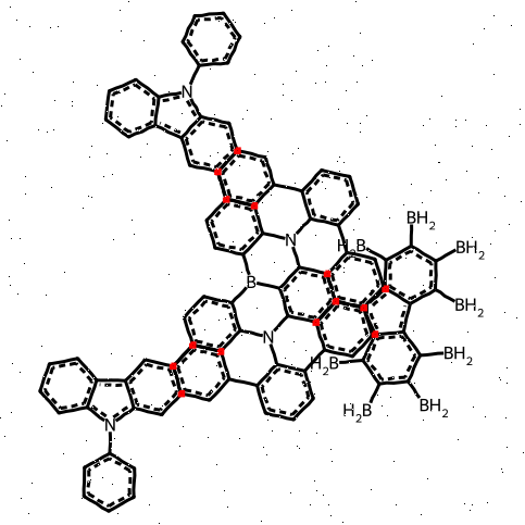 Bc1c(B)c(B)c2c(c1B)c1c(B)c(B)c(B)c(B)c1n2-c1cc2c3c(c1)N(c1c(-c4ccccc4)cccc1-c1ccccc1)c1cc(-c4ccc5c(c4)c4ccccc4n5-c4ccccc4)ccc1B3c1ccc(-c3ccc4c(c3)c3ccccc3n4-c3ccccc3)cc1N2c1c(-c2ccccc2)cccc1-c1ccccc1